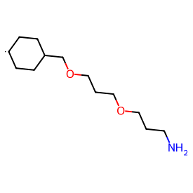 NCCCOCCCOCC1CC[CH]CC1